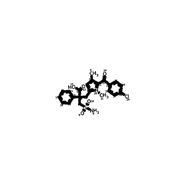 Cc1cc(CC(CS(N)(=O)=O)(C(=O)O)c2ccccc2)n(C)c1C(=O)c1ccc(Cl)cc1